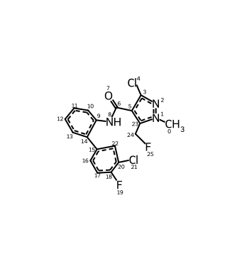 Cn1nc(Cl)c(C(=O)Nc2ccccc2-c2ccc(F)c(Cl)c2)c1CF